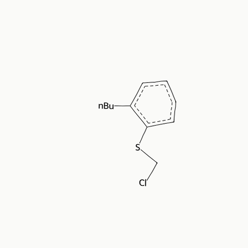 CCCCc1ccccc1SCCl